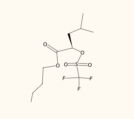 CCCCOC(=O)[C@@H](CC(C)C)OS(=O)(=O)C(F)(F)F